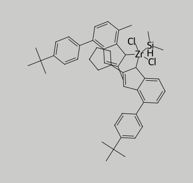 CC1=Cc2c(-c3ccc(C(C)(C)C)cc3)ccc(C)c2[CH]1[Zr]([Cl])([Cl])([CH]1C(C2CCCC2)=Cc2c(-c3ccc(C(C)(C)C)cc3)cccc21)[SiH](C)C